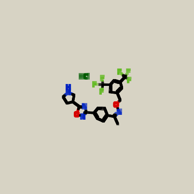 CC(=NOCc1cc(C(F)(F)F)cc(C(F)(F)F)c1)c1ccc(-c2noc(C3CCNC3)n2)cc1.Cl